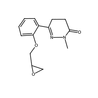 CN1N=C(c2ccccc2OCC2CO2)CCC1=O